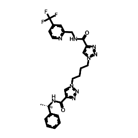 C[C@H](NC(=O)c1cn(CCCCn2cc(C(=O)NCc3cc(C(F)(F)F)ccn3)nn2)nn1)c1ccccc1